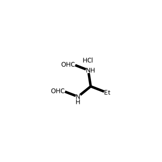 CCC(NC=O)NC=O.Cl